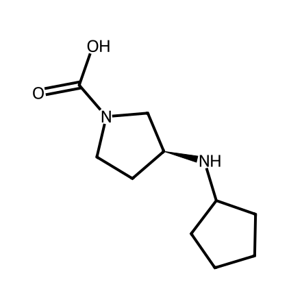 O=C(O)N1CC[C@H](NC2CCCC2)C1